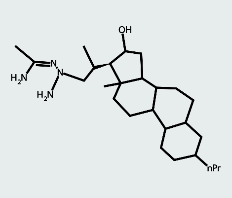 CCCC1CCC2C(CCC3C2CCC2(C)C3CC(O)[C@@H]2C(C)CN(N)/N=C(/C)N)C1